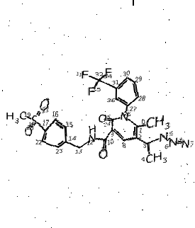 Cc1c(C(C)N=[N+]=[N-])cc(C(=O)NCc2ccc(S(C)(=O)=O)cc2)c(=O)n1-c1cccc(C(F)(F)F)c1